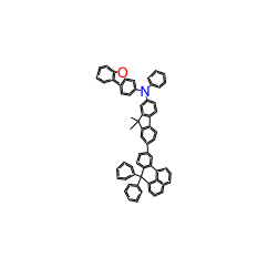 CC1(C)c2cc(-c3ccc4c(c3)-c3cccc5cccc(c35)C4(c3ccccc3)c3ccccc3)ccc2-c2ccc(N(c3ccccc3)c3ccc4c(c3)oc3ccccc34)cc21